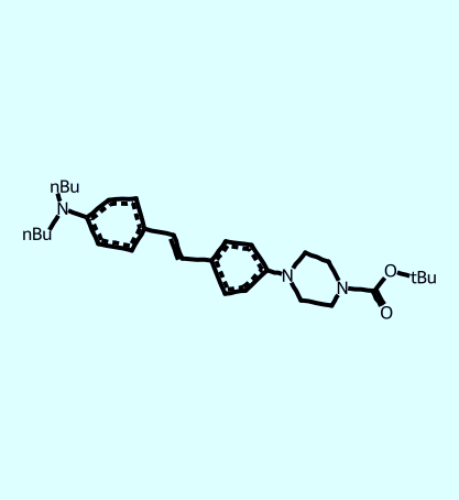 CCCCN(CCCC)c1ccc(C=Cc2ccc(N3CCN(C(=O)OC(C)(C)C)CC3)cc2)cc1